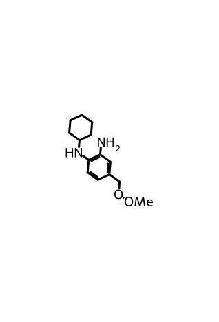 COOCc1ccc(NC2CCCCC2)c(N)c1